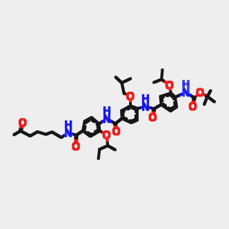 CCC(C)Oc1cc(C(=O)NCCCCCC(C)=O)ccc1NC(=O)c1ccc(NC(=O)c2ccc(NC(=O)OC(C)(C)C)c(OC(C)C)c2)c(OCC(C)C)c1